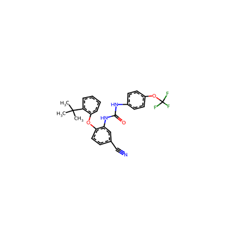 CC(C)(C)c1ccccc1Oc1ccc(C#N)cc1NC(=O)Nc1ccc(OC(F)(F)F)cc1